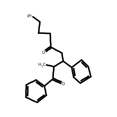 CC(C)CCCC(=O)CC(c1ccccc1)C(C)C(=O)c1ccccc1